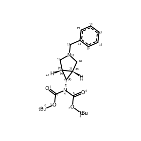 CC(C)(C)OC(=O)N(C(=O)OC(C)(C)C)[C@@H]1[C@@H]2CN(Cc3ccccc3)C[C@@H]21